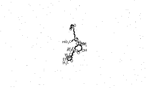 CC[C@H](O)[C@@H](C)[C@H]1O[C@@H]1C[C@@](C)(O)/C=C/C=C(\C)[C@H]1OC(=O)C[C@H](O)CC[C@@](C)(OC)[C@@H](OC(=O)N2CCN(CCCCCCN3C(=O)C=CC3=O)C(CCC(=O)O)C2)/C=C/[C@@H]1C